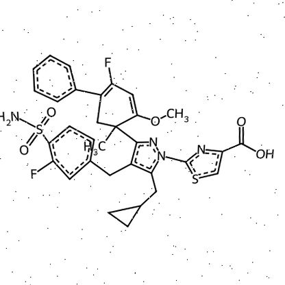 COC1=CC(F)=C(c2ccccc2)CC1(C)c1nn(-c2nc(C(=O)O)cs2)c(CC2CC2)c1Cc1ccc(S(N)(=O)=O)c(F)c1